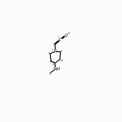 CNC1CCN([C]=C=O)CC1